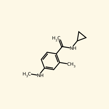 C=C(NC1CC1)c1ccc(NC)cc1C